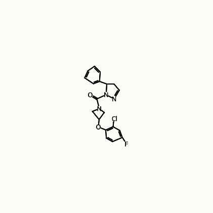 O=C(N1CC(Oc2ccc(F)cc2Cl)C1)N1N=CCC1c1ccccc1